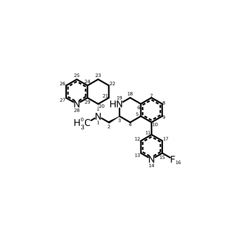 CN(C[C@@H]1Cc2c(cccc2-c2ccnc(F)c2)CN1)[C@H]1CCCc2cccnc21